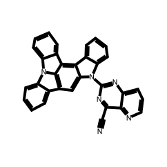 N#Cc1nc(-n2c3ccccc3c3c4c5ccccc5n5c6ccccc6c(cc32)c45)nc2cccnc12